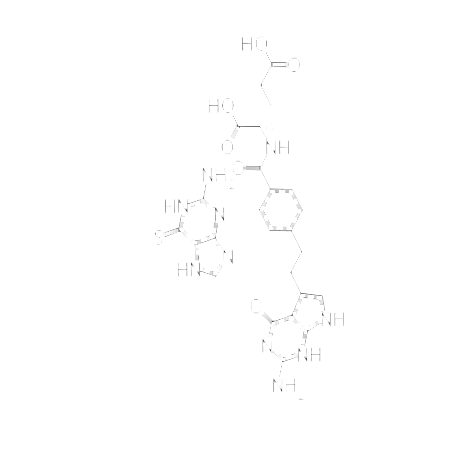 Nc1nc(=O)c2c(CCc3ccc(C(=O)N[C@@H](CCC(=O)O)C(=O)O)cc3)c[nH]c2[nH]1.Nc1nc2nc[nH]c2c(=S)[nH]1